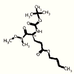 CCCCOC(=O)CC[C@H](NC(=O)OC(C)(C)C)C(=O)N(C)OC